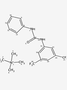 C[N+](C)(C)C.O=C(Nc1ccccc1)Nc1cc(C(F)(F)F)cc(C(F)(F)F)c1